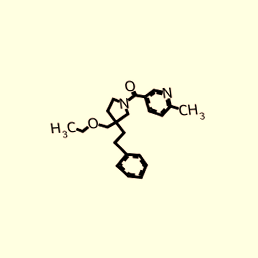 CCOCC1(CCc2ccccc2)CCN(C(=O)c2ccc(C)nc2)C1